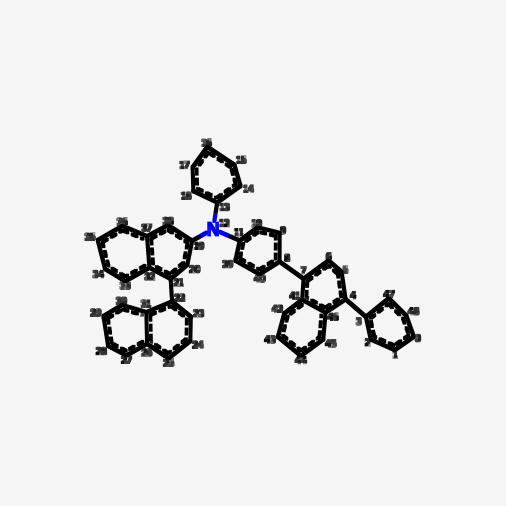 c1ccc(-c2ccc(-c3ccc(N(c4ccccc4)c4cc(-c5cccc6ccccc56)c5ccccc5c4)cc3)c3ccccc23)cc1